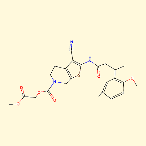 COC(=O)COC(=O)N1CCc2c(sc(NC(=O)CC(C)c3cc(C)ccc3OC)c2C#N)C1